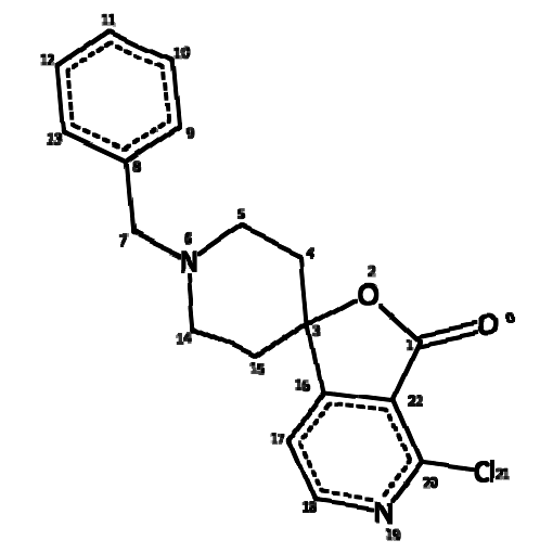 O=C1OC2(CCN(Cc3ccccc3)CC2)c2ccnc(Cl)c21